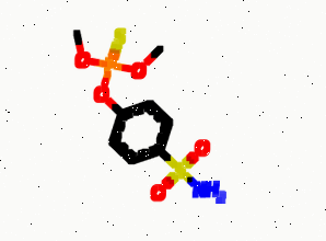 COP(=S)(OC)Oc1ccc(S(N)(=O)=O)cc1